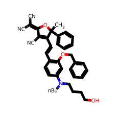 CCCCN(CCCCO)c1ccc(/C=C/C2=C(C#N)C(=C(C#N)C#N)OC2(C)c2ccccc2)c(OCc2ccccc2)c1